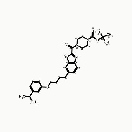 CC(C)c1cccc(OCCCCc2ccc3nc(C(=O)N4CCN(C(=O)OC(C)(C)C)CC4)[nH]c3c2)c1